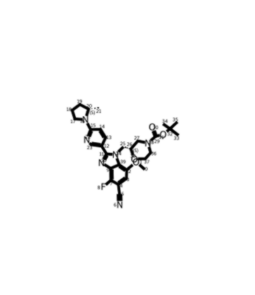 COc1cc(C#N)c(F)c2nc(-c3ccc(N4CCC[C@@H]4C)nc3)n(C[C@@H]3CN(C(=O)OC(C)(C)C)CCO3)c12